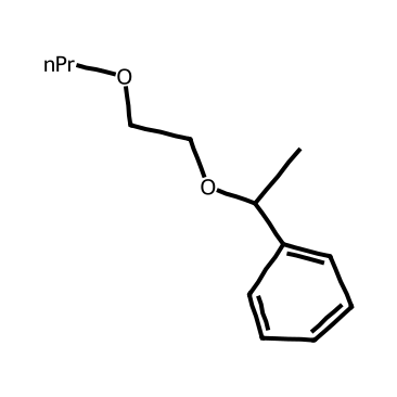 CCCOCCOC(C)c1ccccc1